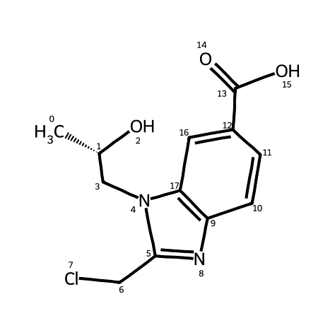 C[C@H](O)Cn1c(CCl)nc2ccc(C(=O)O)cc21